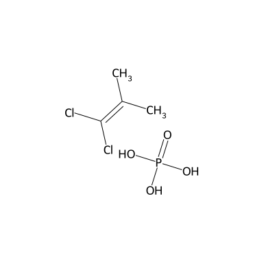 CC(C)=C(Cl)Cl.O=P(O)(O)O